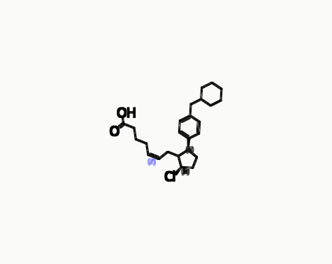 O=C(O)CCC/C=C\CC1[C@H](Cl)CC[C@@H]1c1ccc(CC2CCCCC2)cc1